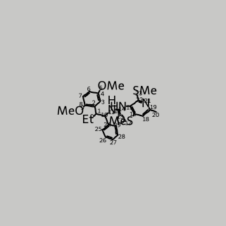 CCC(c1cc(OC)ccc1OC)C(NC(=O)Nc1c(SC)cc(C)nc1SC)c1ccccc1